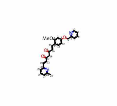 COc1cc(OCc2ccccn2)ccc1C=CC(=O)CC(=O)C=Cc1cccc(C)n1